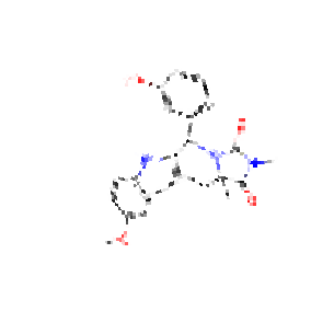 COc1ccc2[nH]c3c(c2c1)CC1(C)C(=O)N(C)C(=O)N1C3c1cccc(O)c1